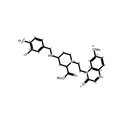 COC(=O)C1CC(NCc2ccc(C)c(F)c2)CCN1CCn1c(=O)cnc2ccc(OC)cc21